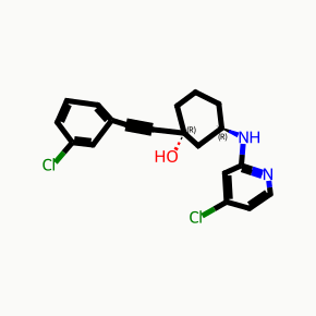 O[C@]1(C#Cc2cccc(Cl)c2)CCC[C@@H](Nc2cc(Cl)ccn2)C1